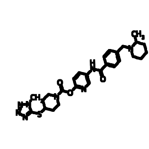 CC1CCCCN1Cc1ccc(C(=O)Nc2ccc(OC(=O)N3CCC(Sc4nnnn4C)CC3)nc2)cc1